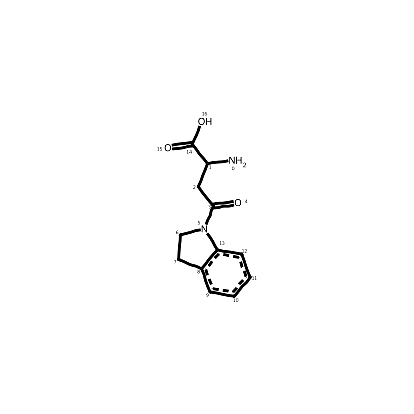 NC(CC(=O)N1CCc2ccccc21)C(=O)O